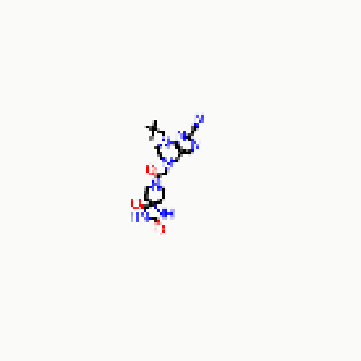 CC(C)(C)CN1CCN(CC(=O)N2CCC3(CC2)NC(=O)NC3=O)Cc2cnc(C#N)nc21